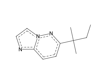 CCC(C)(C)c1ccc2nccn2n1